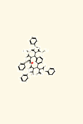 CC(C)NC1=NN(c2ccccc2)C(=O)C1C(c1cccc(C(C2C(=O)N(c3ccccc3)N=C2NC(C)C)C2C(=O)N(c3ccccc3)N=C2NC(C)C)c1)C1C(=O)N(c2ccccc2)N=C1NC(C)C